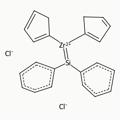 C1=CC[C]([Zr+2]([C]2=CC=CC2)=[Si](c2ccccc2)c2ccccc2)=C1.[Cl-].[Cl-]